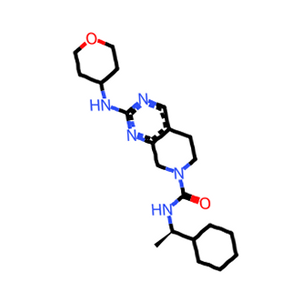 C[C@@H](NC(=O)N1CCc2cnc(NC3CCOCC3)nc2C1)C1CCCCC1